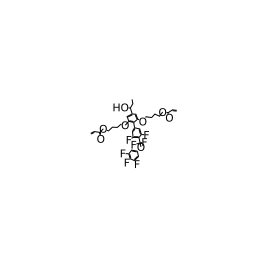 C=CC(=O)OCCCCOc1cc(C(O)CC)cc(OCCCCOC(=O)C=C)c1-c1cc(F)c(C(F)(F)Oc2cc(F)c(F)c(F)c2)c(F)c1